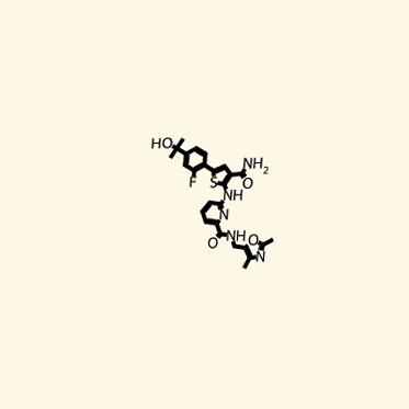 Cc1nc(C)c(CNC(=O)c2cccc(Nc3sc(-c4ccc(C(C)(C)O)cc4F)cc3C(N)=O)n2)o1